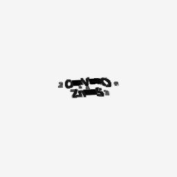 [O]=[V]=[O].[S]=[Zn]